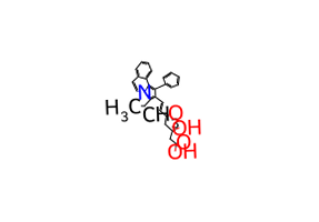 CC(C)c1c(/C=C/C(=O)CC(O)CC(=O)O)c(-c2ccccc2)c2c3ccccc3ccn12